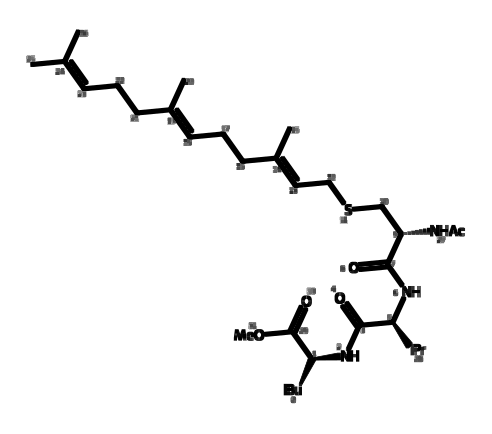 CC[C@H](C)[C@H](NC(=O)[C@@H](NC(=O)[C@H](CSC/C=C(\C)CC/C=C(\C)CCC=C(C)C)NC(C)=O)C(C)C)C(=O)OC